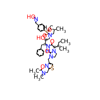 CC[C@H](C)[C@@H](C(=O)N[C@@H](Cc1ccccc1)[C@H](O)CN(CC(C)C)S(=O)(=O)c1ccc(C=NO)cc1)N1CCN(Cc2csc(CN(C)C(C)=O)n2)C1=O